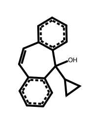 OC1(C2CC2)c2ccccc2C=Cc2ccccc21